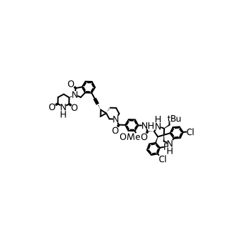 COc1cc(C(=O)N2CCC[C@@]3(C[C@@H]3C#Cc3cccc4c3CN([C@H]3CCC(=O)NC3=O)C4=O)C2)ccc1NC(=O)[C@@H]1N[C@@H](CC(C)(C)C)[C@@]2(CNc3cc(Cl)ccc32)[C@H]1c1cccc(Cl)c1F